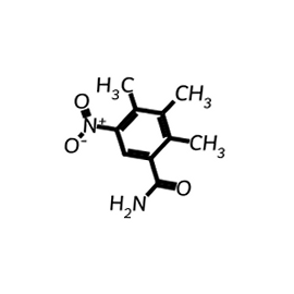 Cc1c(C(N)=O)cc([N+](=O)[O-])c(C)c1C